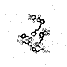 COC(=O)N1CC[C@H]2CC[C@@H](C(=O)N[C@@H](CCC(N)=O)C(=O)N[C@@H](Cc3ccc(F)c(F)c3)C(=O)N3CCC(CCC#Cc4cccc5c4CN(C4CCC(=O)NC4=O)C5=O)CC3)N2C(=O)[C@@H](NC(=O)c2cc3cc(C(F)(F)P(=O)(O)O)ccc3s2)C1